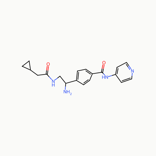 NC(CNC(=O)CC1CC1)c1ccc(C(=O)Nc2ccncc2)cc1